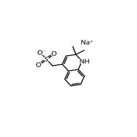 CC1(C)C=C(CS(=O)(=O)[O-])c2ccccc2N1.[Na+]